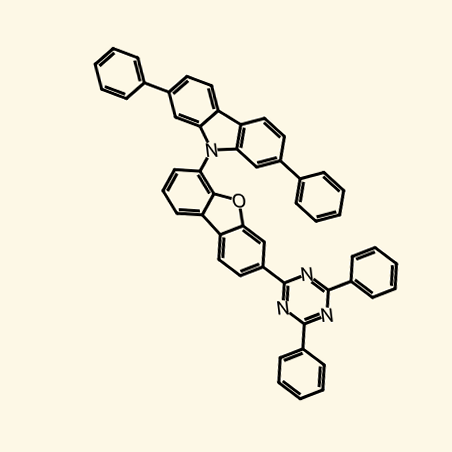 c1ccc(-c2ccc3c4ccc(-c5ccccc5)cc4n(-c4cccc5c4oc4cc(-c6nc(-c7ccccc7)nc(-c7ccccc7)n6)ccc45)c3c2)cc1